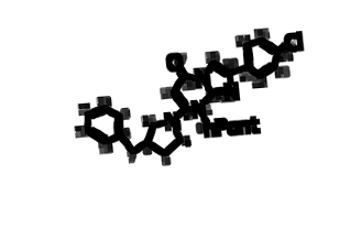 CCCCCn1c(N2CCC(Cc3ccccc3)C2)cc(=O)n2cc(-c3ccc(Cl)cc3)nc12